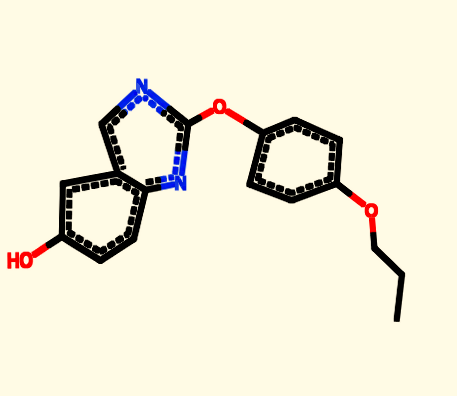 CCCOc1ccc(Oc2ncc3cc(O)ccc3n2)cc1